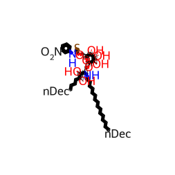 CCCCCCCCCCCCCCCCCCCCCCCCCCN[C@@H](CO[C@H]1O[C@H](COC(=S)Nc2cccc([N+](=O)[O-])c2)[C@H](O)[C@H](O)[C@H]1O)[C@H](O)[C@H](O)CCCCCCCCCCCCCC